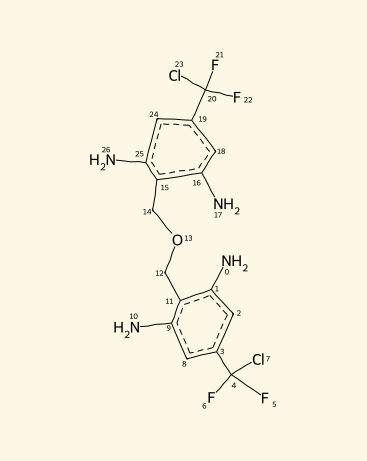 Nc1cc(C(F)(F)Cl)cc(N)c1COCc1c(N)cc(C(F)(F)Cl)cc1N